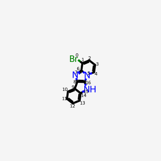 Brc1cccn2c1nc1c3ccccc3[nH]c12